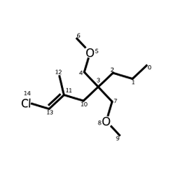 CCCC(COC)(COC)CC(C)=CCl